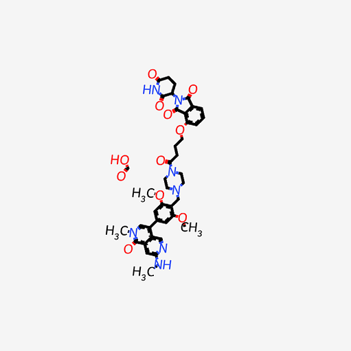 CNc1cc2c(=O)n(C)cc(-c3cc(OC)c(CN4CCN(C(=O)CCCOc5cccc6c5C(=O)N(C5CCC(=O)NC5=O)C6=O)CC4)c(OC)c3)c2cn1.O=CO